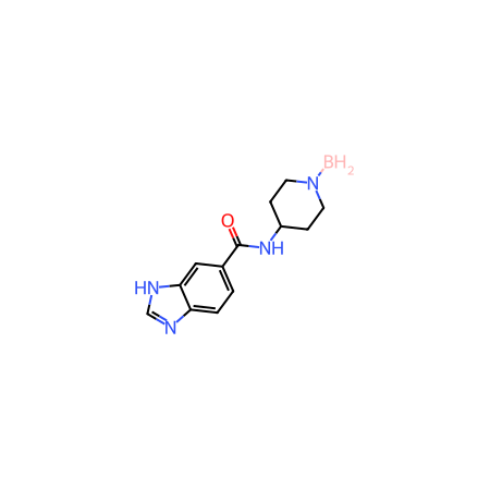 BN1CCC(NC(=O)c2ccc3nc[nH]c3c2)CC1